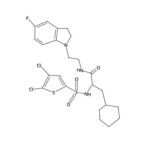 O=C(NCCN1CCc2cc(F)ccc21)C(CC1CCCCC1)NS(=O)(=O)c1cc(Cl)c(Cl)s1